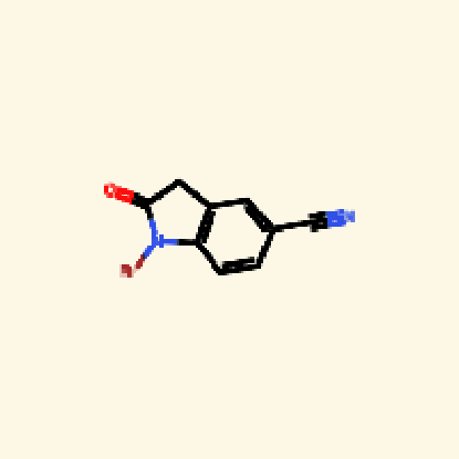 N#Cc1ccc2c(c1)CC(=O)N2Br